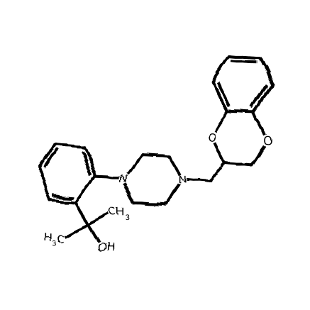 CC(C)(O)c1ccccc1N1CCN(CC2COc3ccccc3O2)CC1